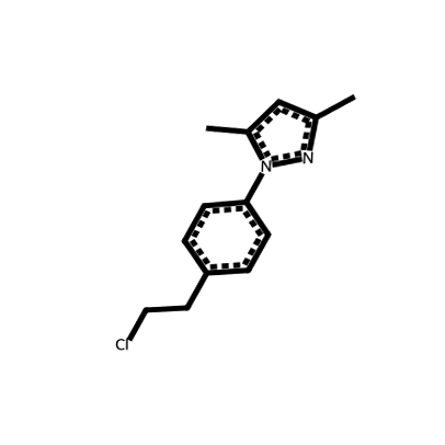 Cc1cc(C)n(-c2ccc(CCCl)cc2)n1